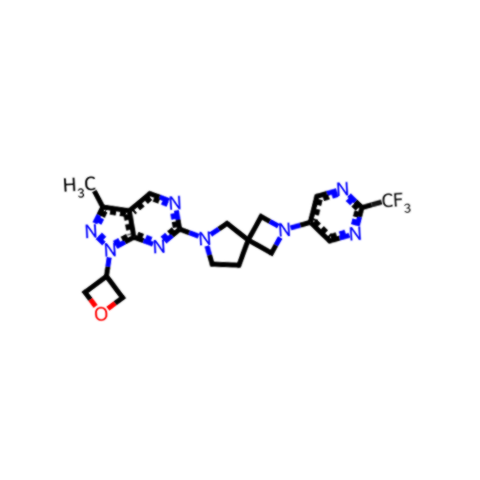 Cc1nn(C2COC2)c2nc(N3CCC4(CN(c5cnc(C(F)(F)F)nc5)C4)C3)ncc12